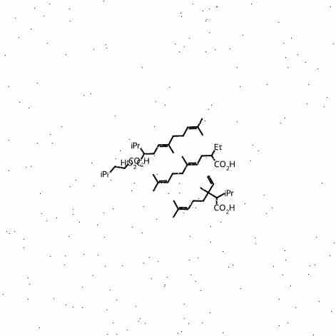 C=CC(C)(CCC=C(C)C)C(C(=O)O)C(C)C.CC(C)=CCC/C(C)=C/CC(C(=O)O)C(C)C.CC(C)CCC(=O)O.CCC(C/C=C(\C)CCC=C(C)C)C(=O)O